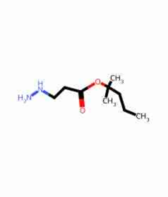 CCCC(C)(C)OC(=O)CCNN